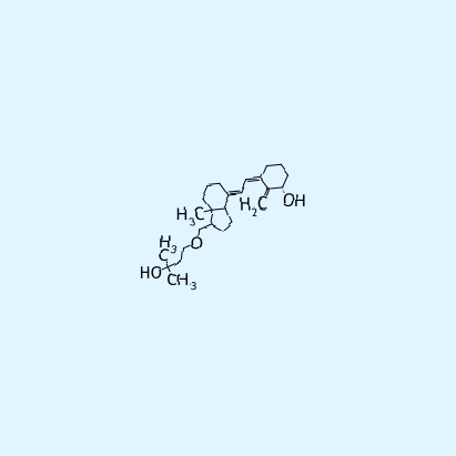 C=C1/C(=C\C=C2/CCCC3(C)C(COCCC(C)(C)O)CCC23)CCC[C@@H]1O